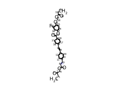 C=CC(=O)COC(=O)/C=C/c1ccc(C#Cc2ccc(C(=O)Oc3ccc(OCOC(=O)C=C)c(F)c3)cc2)cc1